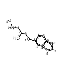 CC(C)NCC(O)COc1ccc2ncsc2c1